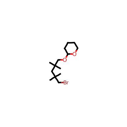 CC(C)(CBr)CC(C)(C)COC1CCCCO1